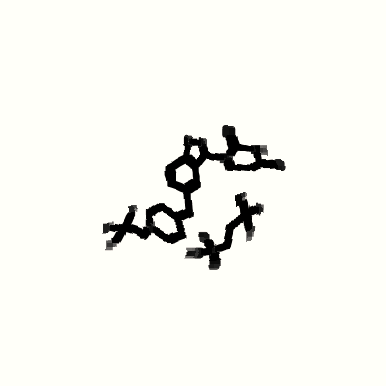 O=C1CCN(c2noc3ccc(CC4CCN(CC(F)(F)F)CC4)cc23)C(=O)N1.O=S(=O)(O)CCC(F)(F)F